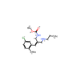 COc1ccc(Cl)cc1C=C(CNCCOC(C)=O)CNC(=O)OC(C)(C)C